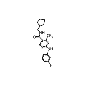 O=C(NCC1CCCC1)c1cnc(Nc2cccc(F)c2)nc1C(F)(F)F